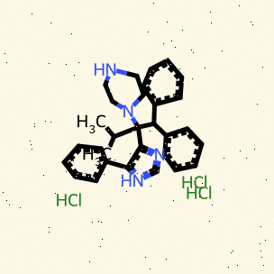 CC(C)C(c1nc[nH]c1-c1ccccc1)(C(c1ccccc1)c1ccccc1)N1CCNCC1.Cl.Cl.Cl